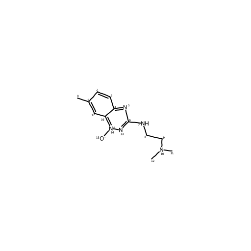 Cc1ccc2nc(NCCN(C)C)n[n+]([O-])c2c1